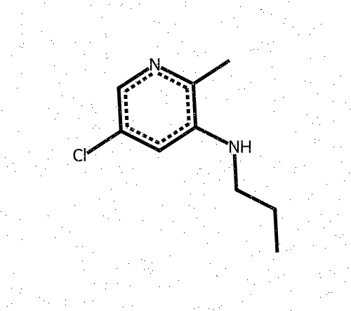 CCCNc1cc(Cl)cnc1C